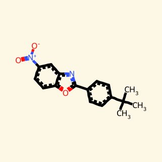 CC(C)(C)c1ccc(-c2nc3cc([N+](=O)[O-])ccc3o2)cc1